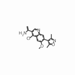 C=C(N)c1cnc2cc(-c3c(C)noc3C)c(OC)cc2c1Cl